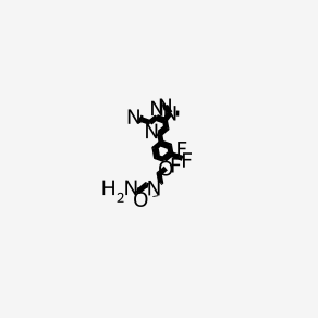 CN(CCOc1ccc(-c2cc3c(nnn3C)c(C#N)n2)cc1C(F)(F)F)CC(N)=O